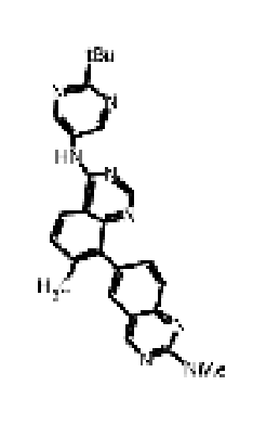 CNc1ncc2cc(-c3c(C)ccc4c(Nc5cnc(C(C)(C)C)nc5)ncnc34)ccc2n1